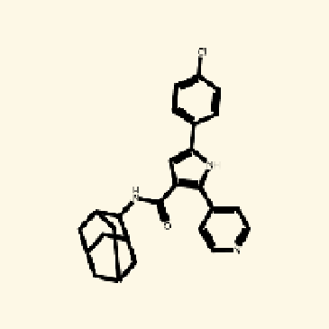 O=C(NC1C2CC3CC(C2)CC1C3)c1cc(-c2ccc(Cl)cc2)[nH]c1-c1ccncc1